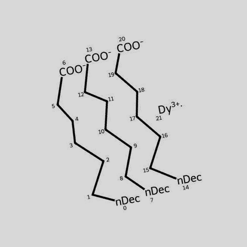 CCCCCCCCCCCCCCCC(=O)[O-].CCCCCCCCCCCCCCCC(=O)[O-].CCCCCCCCCCCCCCCC(=O)[O-].[Dy+3]